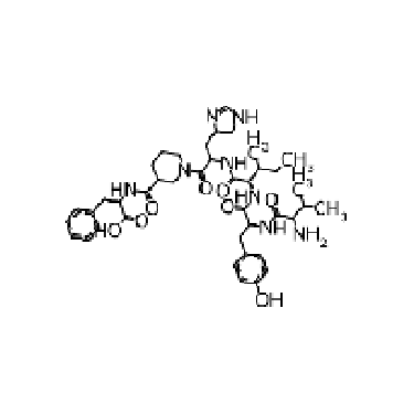 CCC(C)C(NC(=O)C(Cc1ccc(O)cc1)NC(=O)C(N)C(C)C)C(=O)NC(CC1CNC=N1)C(=O)N1CCCC(C(=O)NC(Cc2ccccc2)C(=O)O)C1